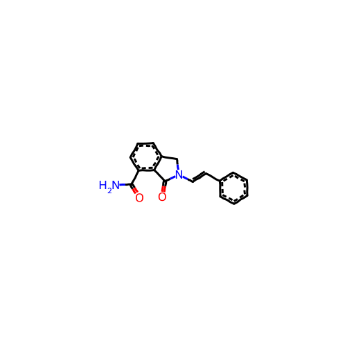 NC(=O)c1cccc2c1C(=O)N(C=Cc1ccccc1)C2